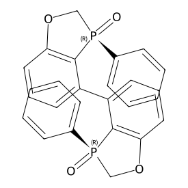 O=[P@@]1(c2ccccc2)COc2cccc(-c3cccc4c3[P@](=O)(c3ccccc3)CO4)c21